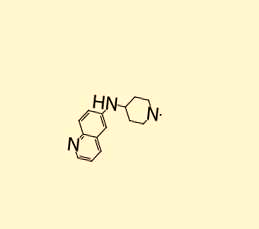 c1cnc2ccc(NC3CC[N]CC3)cc2c1